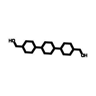 OCC1CCC(C2CCC(C3CCC(CO)CC3)CC2)CC1